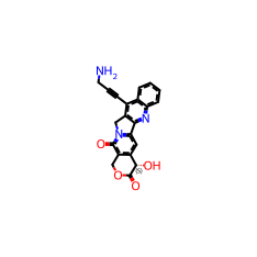 NCC#Cc1c2c(nc3ccccc13)-c1cc3c(c(=O)n1C2)COC(=O)[C@H]3O